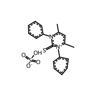 Cc1cc(C)[n+](-c2ccccc2)c(=S)n1-c1ccccc1.O=S(=O)([O-])O